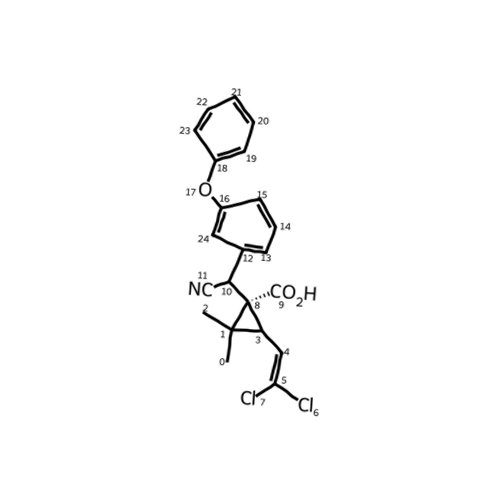 CC1(C)C(C=C(Cl)Cl)[C@]1(C(=O)O)C(C#N)c1cccc(Oc2ccccc2)c1